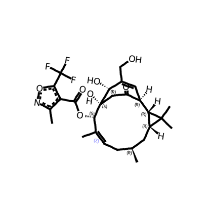 C/C1=C/C[C@H](C)C[C@@H]2[C@H]([C@@H]3C=C(CO)[C@@H](O)[C@@](O)(CC3=O)[C@H]1OC(=O)c1c(C)noc1C(F)(F)F)C2(C)C